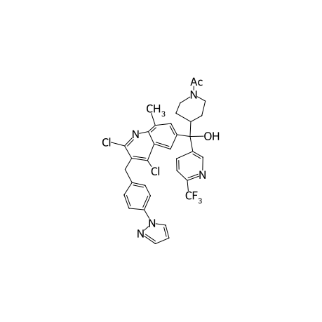 CC(=O)N1CCC(C(O)(c2ccc(C(F)(F)F)nc2)c2cc(C)c3nc(Cl)c(Cc4ccc(-n5cccn5)cc4)c(Cl)c3c2)CC1